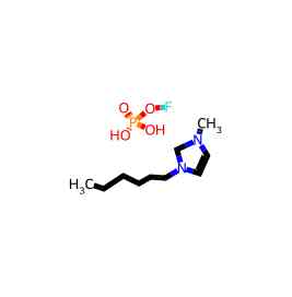 CCCCCCN1C=CN(C)C1.O=P(O)(O)OF